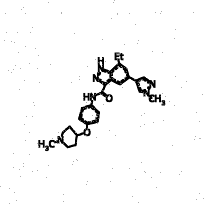 CCc1cc(-c2cnn(C)c2)cc2c(C(=O)Nc3ccc(OC4CCN(C)CC4)cc3)n[nH]c12